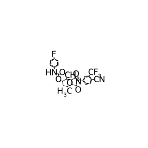 CC12CC(OC(=O)Nc3ccc(F)cc3)C(C)(O1)C1C(=O)N(c3ccc(C#N)c(C(F)(F)F)c3)C(=O)C12